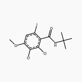 COc1cc(I)c(C(=O)NC(C)(C)C)c(Cl)c1Cl